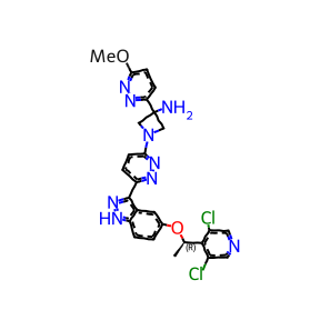 COc1ccc(C2(N)CN(c3ccc(-c4n[nH]c5ccc(O[C@H](C)c6c(Cl)cncc6Cl)cc45)nn3)C2)nn1